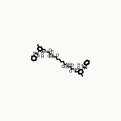 Cc1cc(CNC(=O)C(=O)NNC(=O)CCCCC(=O)NNC(=O)C(=O)NCc2cc(C)cc(-n3nc4ccccc4n3)c2O)c(O)c(-n2nc3ccccc3n2)c1